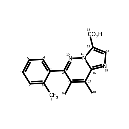 Cc1c(-c2ccccc2C(F)(F)F)nn2c(C(=O)O)cnc2c1C